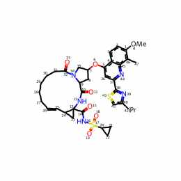 COc1ccc2c(OC3CC4C(=O)NC5(C(=O)NS(=O)(=O)C6CC6)CC5/C=C/CCCCCC(=O)N4C3)cc(-c3nc(C(C)C)cs3)nc2c1C